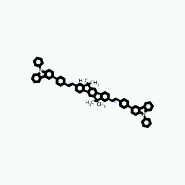 CC1(C)c2cc(/C=C/c3ccc(-c4ccc5c(c4)c4ccccc4n5-c4ccccc4)cc3)ccc2-c2cc3c(cc21)-c1ccc(/C=C/c2ccc(-c4ccc5c(c4)c4ccccc4n5-c4ccccc4)cc2)cc1C3(C)C